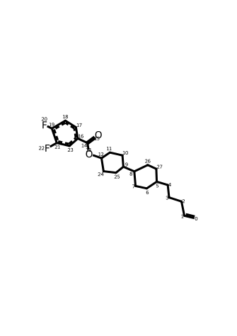 C=CCCCC1CCC(C2CCC(OC(=O)c3ccc(F)c(F)c3)CC2)CC1